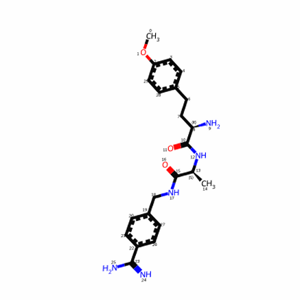 COc1ccc(CC[C@@H](N)C(=O)N[C@@H](C)C(=O)NCc2ccc(C(=N)N)cc2)cc1